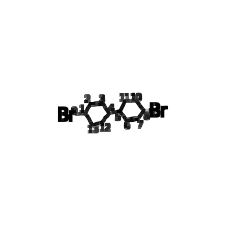 BrC1C=C[C@@H](C2C=C[C@@H](Br)CC2)CC1